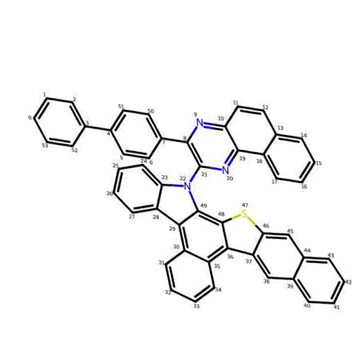 c1ccc(-c2ccc(-c3nc4ccc5ccccc5c4nc3-n3c4ccccc4c4c5ccccc5c5c6cc7ccccc7cc6sc5c43)cc2)cc1